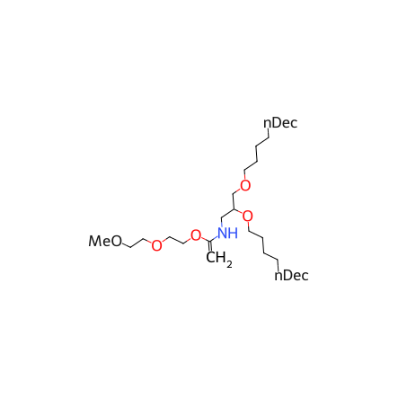 C=C(NCC(COCCCCCCCCCCCCCC)OCCCCCCCCCCCCCC)OCCOCCOC